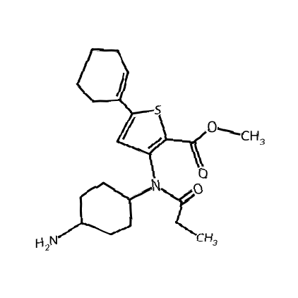 CCC(=O)N(c1cc(C2=CCCCC2)sc1C(=O)OC)C1CCC(N)CC1